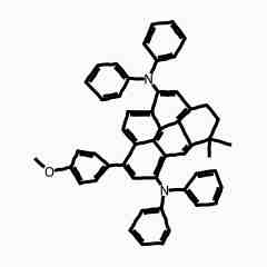 COc1ccc(-c2cc(N(c3ccccc3)c3ccccc3)c3cc4c5c(cc(N(c6ccccc6)c6ccccc6)c6ccc2c3c65)CCC4(C)C)cc1